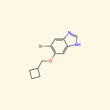 Brc1cc2nc[nH]c2cc1OCC1CCC1